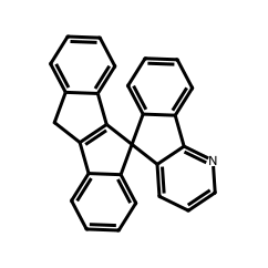 c1ccc2c(c1)CC1=C2C2(c3ccccc31)c1ccccc1-c1ncccc12